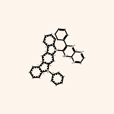 C1=CCCC(C2=C(n3c4ccccc4c4cc5c6ccccc6n(-c6ccccc6)c5cc43)NC3N=CC=NC3=N2)=C1